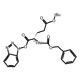 CC(C)(C)OC(=O)CC[C@H](NC(=O)OCc1ccccc1)C(=O)On1nnc2ccccc21